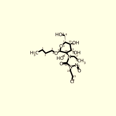 CCCCO[C@H]1O[C@H](CO)[C@@H](O)[C@H](O)[C@@]1(O)N(CC)C(=O)N(CCCl)N=O